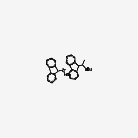 CCCCC(C)C1c2ccccc2-c2ccccc21.CCC[CH2][Zr][CH]1c2ccccc2-c2ccccc21